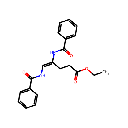 CCOC(=O)CC/C(=C\NC(=O)c1ccccc1)NC(=O)c1ccccc1